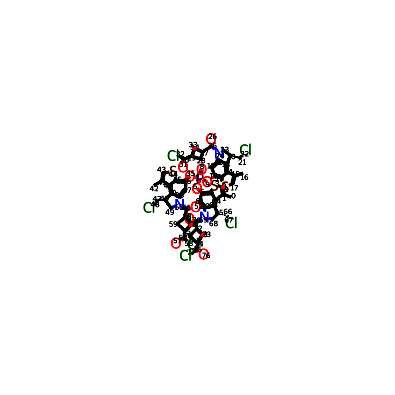 Cc1csc2c(OP(=O)(Oc3cc4c(c5c(C)csc35)[C@H](CCl)CN4C(=O)C34CC(C(=O)Cl)(C3)C4)Oc3cc4c(c5c(C)csc35)[C@H](CCl)CN4C(=O)C34CC(C(=O)Cl)(C3)C4)cc3c(c12)[C@H](CCl)CN3C(=O)C12CC(C(=O)Cl)(C1)C2